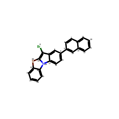 Brc1c2cc(-c3ccc4ccccc4c3)ccc2n2c1sc1ccccc12